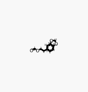 O=COCCc1ccc2c(c1)OCO2